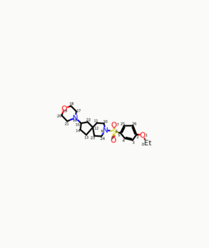 CCOc1ccc(S(=O)(=O)N2CCC3(CCC(N4CCOCC4)C3)CC2)cc1